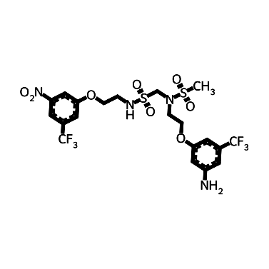 CS(=O)(=O)N(CCOc1cc(N)cc(C(F)(F)F)c1)CS(=O)(=O)NCCOc1cc([N+](=O)[O-])cc(C(F)(F)F)c1